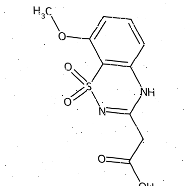 COc1cccc2c1S(=O)(=O)N=C(CC(=O)O)N2